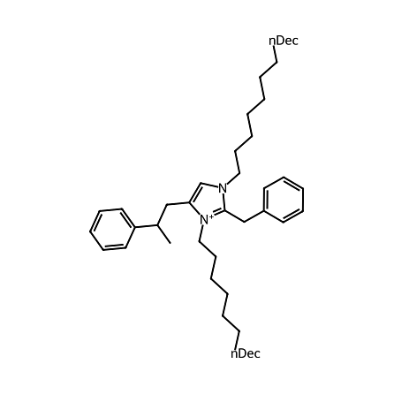 CCCCCCCCCCCCCCCCCn1cc(CC(C)c2ccccc2)[n+](CCCCCCCCCCCCCCCC)c1Cc1ccccc1